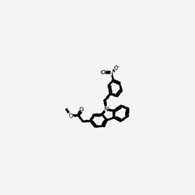 COC(=O)Cc1ccc2c3ccccc3n(Cc3cccc([N+](=O)[O-])c3)c2c1